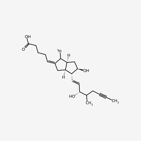 [3H]C1/C(=C\CCCC(=O)O)C[C@@H]2[C@@H](/C=C/[C@@H](O)C(C)CC#CC)[C@H](O)C[C@H]12